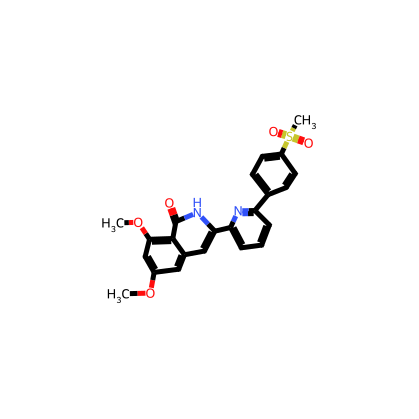 COc1cc(OC)c2c(=O)[nH]c(-c3cccc(-c4ccc(S(C)(=O)=O)cc4)n3)cc2c1